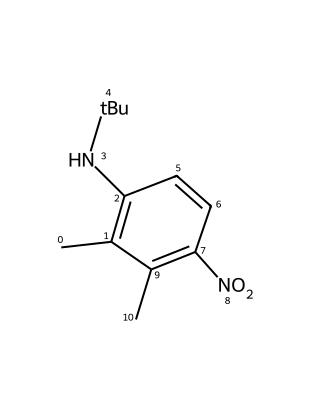 Cc1c(NC(C)(C)C)ccc([N+](=O)[O-])c1C